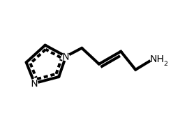 NCC=CCn1ccnc1